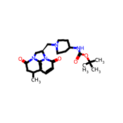 CC1CC(=O)N2C[C@@H](CN3CCC(NC(=O)OC(C)(C)C)CC3)n3c2c1ccc3=O